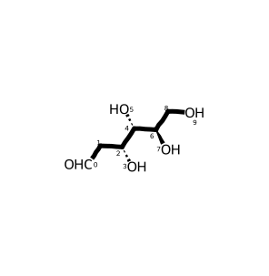 O=[14CH]C[C@@H](O)[C@H](O)[C@H](O)CO